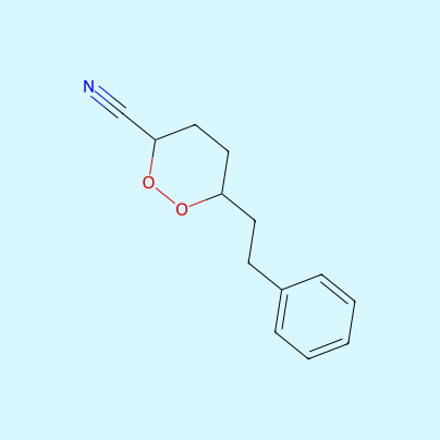 N#CC1CCC(CCc2ccccc2)OO1